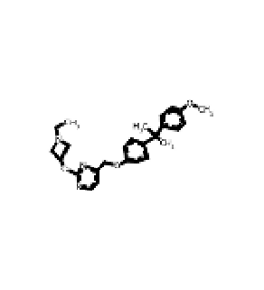 CCN1CC(Oc2nccc(COc3ccc(C(C)(C)c4ccc(OC)cc4)cc3)n2)C1